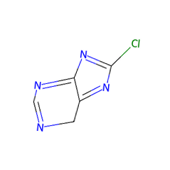 ClC1=NC2=NC=NCC2=N1